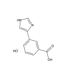 Cl.O=C(O)c1cccc(-c2c[nH]cn2)c1